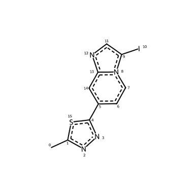 Cc1nnc(-c2ccn3c(I)cnc3c2)s1